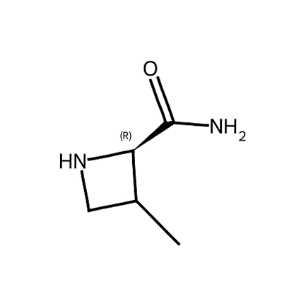 CC1CN[C@H]1C(N)=O